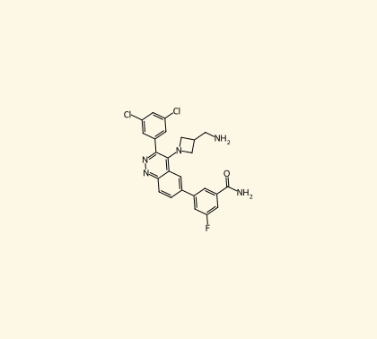 NCC1CN(c2c(-c3cc(Cl)cc(Cl)c3)nnc3ccc(-c4cc(F)cc(C(N)=O)c4)cc23)C1